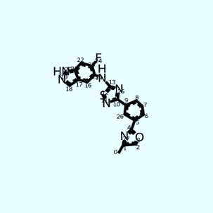 Cc1coc(-c2cccc(-c3nsc(Nc4cc5cn[nH]c5cc4F)n3)c2)n1